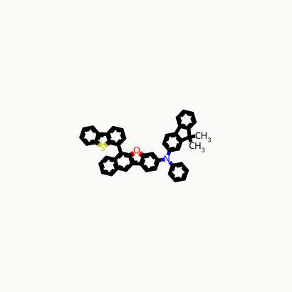 CC1(C)c2ccccc2-c2ccc(N(c3ccccc3)c3ccc4c(c3)oc3c(-c5cccc6c5sc5ccccc56)c5ccccc5cc34)cc21